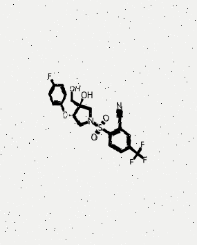 N#Cc1cc(C(F)(F)F)ccc1S(=O)(=O)N1C[C@H](Oc2ccc(F)cc2)[C@](O)(CO)C1